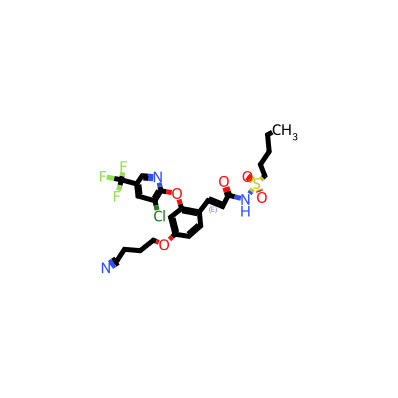 CCCCCS(=O)(=O)NC(=O)/C=C/c1ccc(OCCCC#N)cc1Oc1ncc(C(F)(F)F)cc1Cl